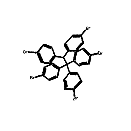 Brc1ccc(C(c2ccc(Br)cc2)C(c2ccc(Br)cc2)(c2ccc(Br)cc2)c2ccc(Br)cc2)cc1